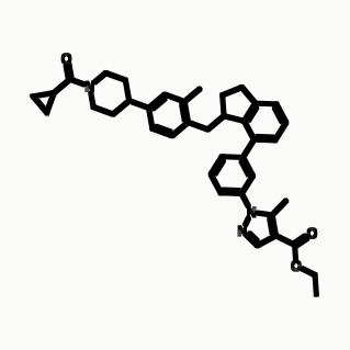 CCOC(=O)c1cnn(-c2cccc(-c3cccc4c3C(Cc3ccc(C5CCN(C(=O)C6CC6)CC5)cc3C)CC4)c2)c1C